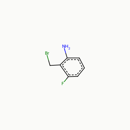 Nc1cccc(F)c1CBr